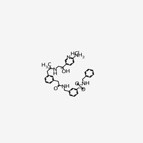 C[C@H](Cc1cccc(CC(=O)NCc2cccc(S(=O)(=O)NCc3ccccc3)c2)c1)NC[C@H](O)c1ccc(N)nc1.Cl